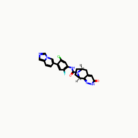 O=C(Nc1cc(Cl)c(-c2ccc3cncn3c2)cc1F)N1[C@H]2CC[C@@H]1c1n[nH]c(=O)cc1C2